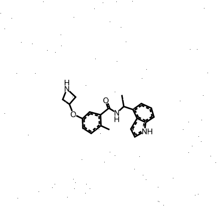 Cc1ccc(OC2CNC2)cc1C(=O)NC(C)c1cccc2[nH]ccc12